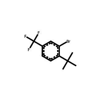 CC(C)(C)c1ccc(C(F)(F)F)cc1Br